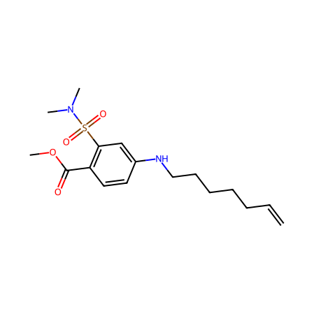 C=CCCCCCNc1ccc(C(=O)OC)c(S(=O)(=O)N(C)C)c1